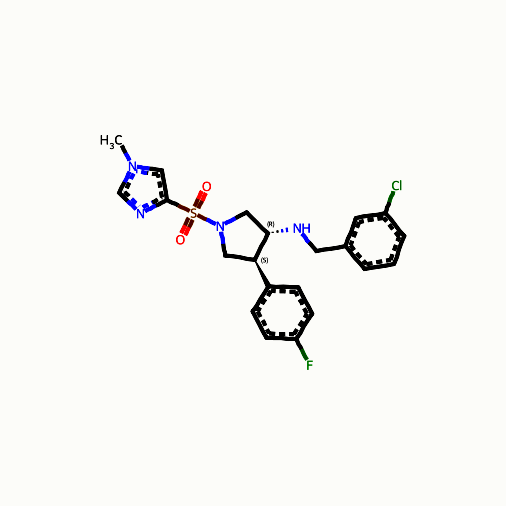 Cn1cnc(S(=O)(=O)N2C[C@H](NCc3cccc(Cl)c3)[C@@H](c3ccc(F)cc3)C2)c1